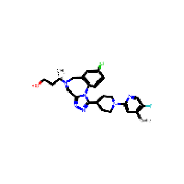 COc1cc(N2CCC(c3nnc4n3-c3ccc(Cl)cc3CN([C@@H](C)CCO)C4)CC2)ncc1F